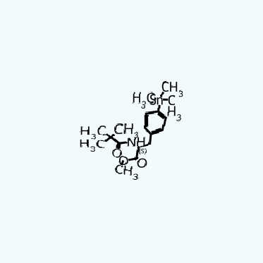 COC(=O)[C@H](Cc1cc[c]([Sn]([CH3])([CH3])[CH3])cc1)NC(=O)C(C)(C)C